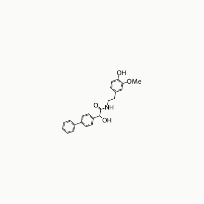 COc1cc(CCNC(=O)C(O)c2ccc(-c3ccccc3)cc2)ccc1O